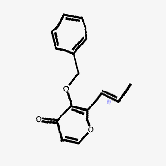 C/C=C/c1occc(=O)c1OCc1ccccc1